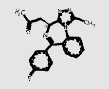 CC(=O)C[C@@H]1N=C(c2ccc(F)cc2)c2ccccc2-n2c(C)nnc21